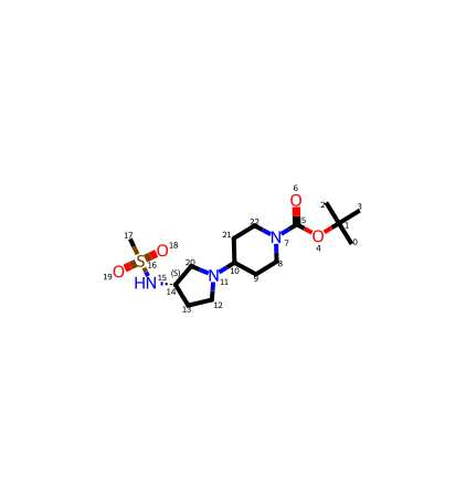 CC(C)(C)OC(=O)N1CCC(N2CC[C@H](NS(C)(=O)=O)C2)CC1